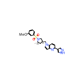 COc1cccc(S(=O)(=O)N2C[C@@H](Cn3ccc4nc(-c5cn[nH]c5)ccc43)C[C@@H]2C)c1